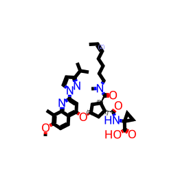 C/C=C\CCCCN(C)C(=O)[C@@H]1C[C@H](Oc2cc(-n3ccc(C(C)C)n3)nc3c(C)c(OC)ccc23)C[C@H]1C(=O)NC1(C(=O)O)CC1